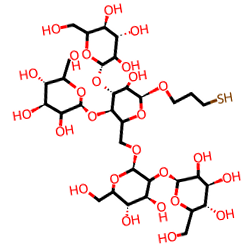 OCC1O[C@@H](OC2[C@H](OCC3O[C@H](OCCCS)C(O)[C@@H](O[C@@H]4OC(CO)[C@@H](O)[C@H](O)C4O)[C@@H]3O[C@@H]3OC(CO)[C@@H](O)[C@H](O)C3O)OC(CO)[C@@H](O)[C@@H]2O)C(O)[C@@H](O)[C@@H]1O